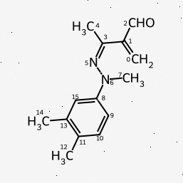 C=C(C=O)/C(C)=N\N(C)c1ccc(C)c(C)c1